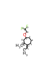 C/C=C1/CCCC(OCC(F)F)CC1C